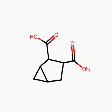 O=C(O)C1CC2CC2C1C(=O)O